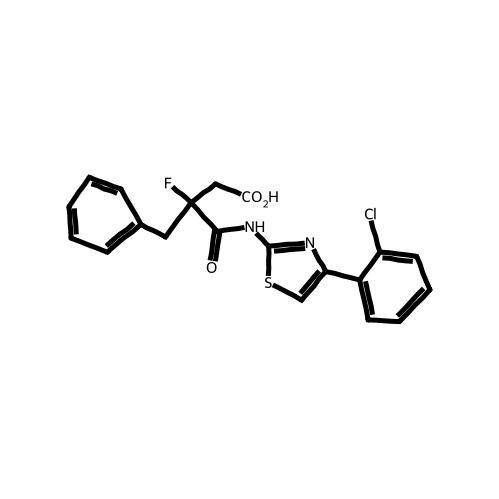 O=C(O)CC(F)(Cc1ccccc1)C(=O)Nc1nc(-c2ccccc2Cl)cs1